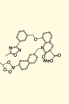 COC(=O)c1cc2cccc(OCc3cccc(-c4noc(C)n4)c3)c2n(Cc2ccc3ccc(N4OOC(C)O4)cc3c2)c1=O